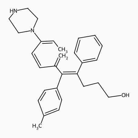 C=C(/C=C\C(=C/C)N1CCNCC1)/C(=C(/CCCO)c1ccccc1)c1ccc(C)cc1